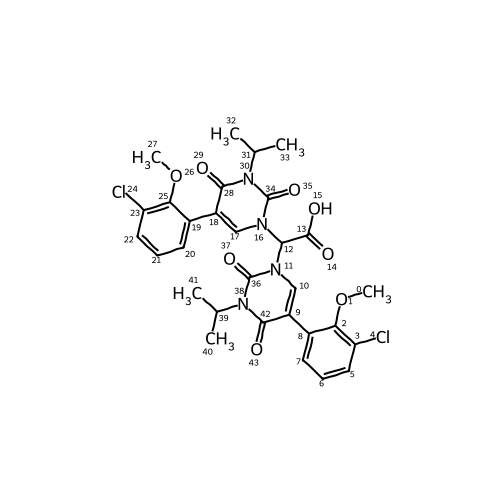 COc1c(Cl)cccc1-c1cn(C(C(=O)O)n2cc(-c3cccc(Cl)c3OC)c(=O)n(C(C)C)c2=O)c(=O)n(C(C)C)c1=O